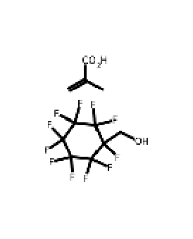 C=C(C)C(=O)O.OCC1(F)C(F)(F)C(F)(F)C(F)(F)C(F)(F)C1(F)F